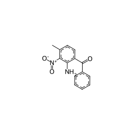 Cc1ccc(C(=O)c2ccccc2)c(N)c1[N+](=O)[O-]